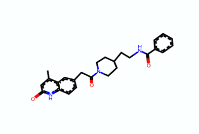 Cc1cc(=O)[nH]c2ccc(CC(=O)N3CCC(CCNC(=O)c4ccccc4)CC3)cc12